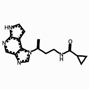 C=C(CCNC(=O)C1CC1)n1cnc2cnc3[nH]ccc3c21